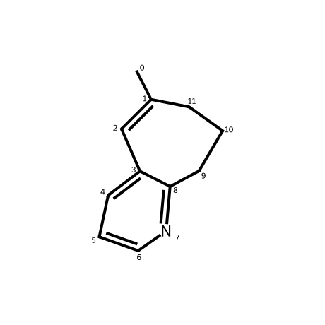 CC1=Cc2cccnc2CCC1